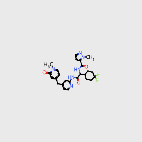 Cn1nccc1C(=O)NC(C(=O)Nc1cc(Cc2ccn(C)c(=O)c2)ccn1)C1CCC(F)(F)CC1